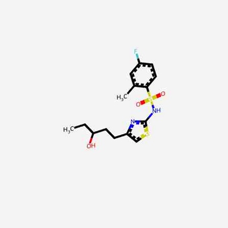 CCC(O)CCc1csc(NS(=O)(=O)c2ccc(F)cc2C)n1